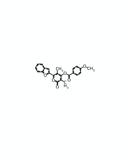 COc1ccc(C(=O)Oc2c(C)c(-c3cc4ccccc4o3)oc(=O)c2C)cc1